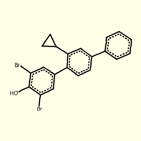 Oc1c(Br)cc(-c2ccc(-c3ccccc3)cc2C2CC2)cc1Br